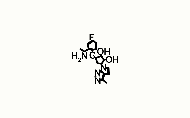 Cc1ncnc2c1ccn2[C@@H]1C[C@H](Oc2ccc(F)cc2C(C)N)[C@@H](O)[C@H]1O